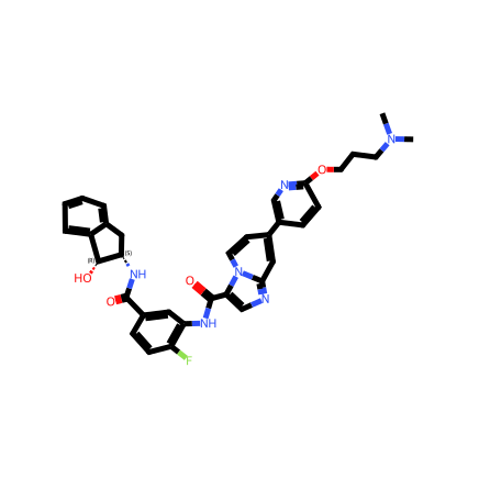 CN(C)CCCOc1ccc(-c2ccn3c(C(=O)Nc4cc(C(=O)N[C@H]5Cc6ccccc6[C@H]5O)ccc4F)cnc3c2)cn1